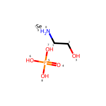 NCCO.O=P(O)(O)O.[Se]